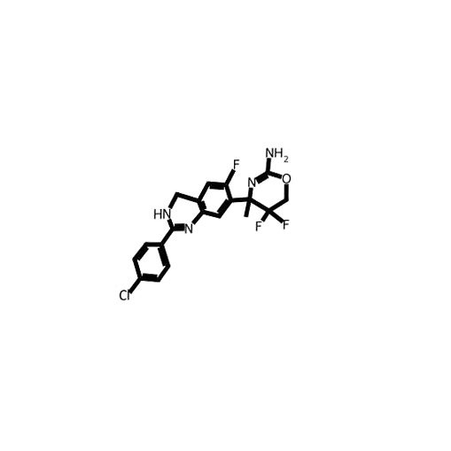 CC1(c2cc3c(cc2F)CNC(c2ccc(Cl)cc2)=N3)N=C(N)OCC1(F)F